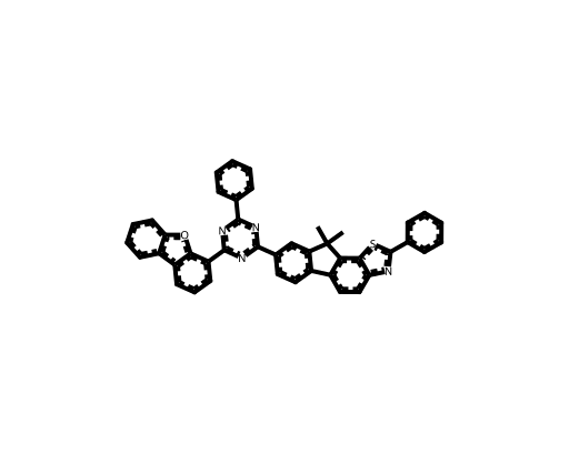 CC1(C)c2cc(-c3nc(-c4ccccc4)nc(-c4cccc5c4oc4ccccc45)n3)ccc2-c2ccc3nc(-c4ccccc4)sc3c21